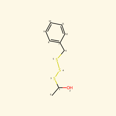 CC(O)SSSCc1ccccc1